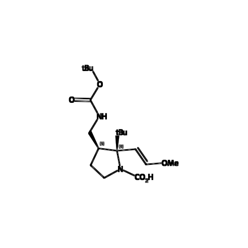 COC=C[C@@]1(C(C)(C)C)[C@H](CNC(=O)OC(C)(C)C)CCN1C(=O)O